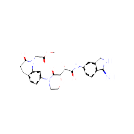 COC(=O)CN1C(=O)CCc2ccc(N3CCO[C@H]([C@@H](O)C(=O)Nc4ccc5c(c4)CNC5=N)C3=O)cc21